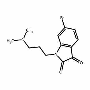 CN(C)CCCN1C(=O)C(=O)c2ccc(Br)cc21